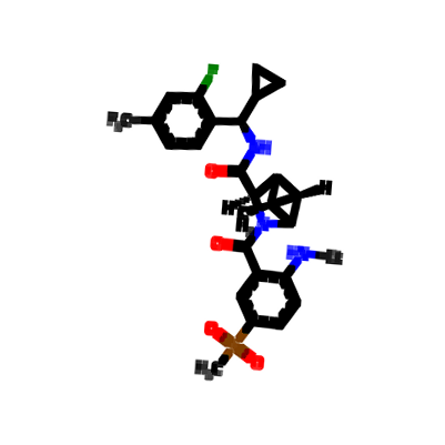 CCNc1ccc(S(C)(=O)=O)cc1C(=O)N1C2[C@H]3C([C@@H]1C(=O)N[C@@H](c1ccc(C(F)(F)F)cc1F)C1CC1)[C@@]23C